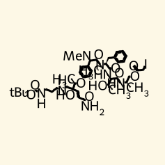 CN[C@H](C(=O)N(C)[C@@H](Cc1ccccc1)C(=O)N[C@@H](C(=O)N[C@H](C)COC(=O)CI)[C@@H](C)O)c1ccc(O[C@H](C)[C@](O)(/C=C/C(N)=O)CNCCCNC(=O)OC(C)(C)C)cc1